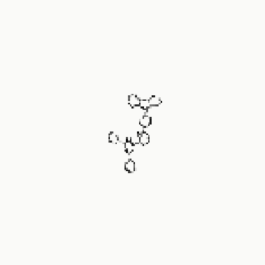 c1ccc(-c2cc(-c3cccc(-c4ccc(-n5c6ccccc6c6ccccc65)cc4)n3)nc(-c3ccccc3)n2)cc1